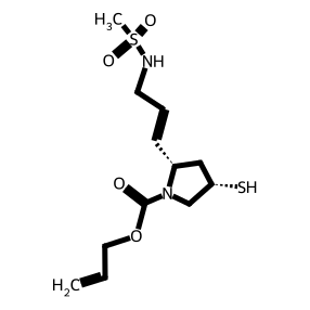 C=CCOC(=O)N1C[C@@H](S)C[C@H]1C=CCNS(C)(=O)=O